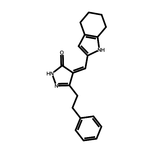 O=C1NN=C(CCc2ccccc2)C1=Cc1cc2c([nH]1)CCCC2